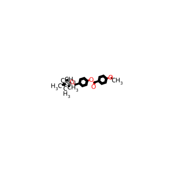 COc1ccc(C(=O)Oc2ccc(CO[Si](C)(C)C(C)(C)C)cc2)cc1